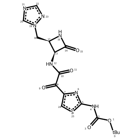 CC(C)(C)OC(=O)Nc1nc(C(=O)C(=O)N[C@@H]2C(=O)N[C@@H]2Cn2cncn2)cs1